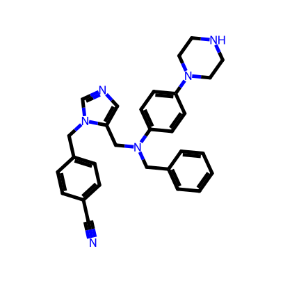 N#Cc1ccc(Cn2cncc2CN(Cc2ccccc2)c2ccc(N3CCNCC3)cc2)cc1